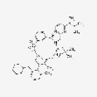 Cc1cccc(CC2CCCCC2)c1-c1nc2nc(c1C)OC[C@@H](CC(C)(C)C)N(Cc1nccc(N(C)C(C)C)n1)C(=O)c1cccc(c1)S(=O)(=O)N2